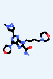 Cn1cc(-c2nc(N3CCOCC3)c3nc(C(N)=O)n(CCCCN4CCOCC4)c3n2)cn1